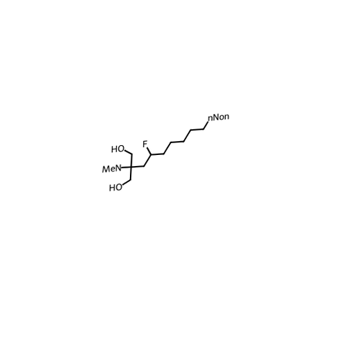 CCCCCCCCCCCCCCC(F)CC(CO)(CO)NC